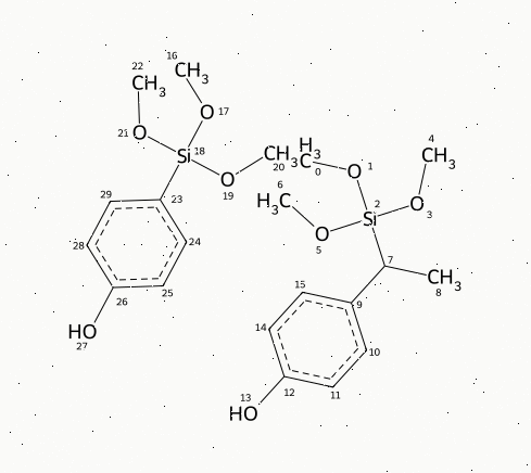 CO[Si](OC)(OC)C(C)c1ccc(O)cc1.CO[Si](OC)(OC)c1ccc(O)cc1